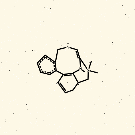 CN1C2=C3C=CCC2CS(C)(C)/C1=C/NCc1ccccc13